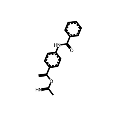 C=C(OC(C)=N)c1ccc(NC(=O)c2ccccc2)cc1